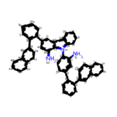 Nc1cc(-c2ccccc2-c2ccc3ccccc3c2)ccc1-n1c2ccccc2c2cc(-c3ccccc3-c3ccc4ccccc4c3)cc(N)c21